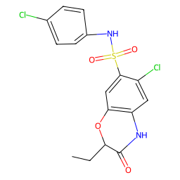 CCC1Oc2cc(S(=O)(=O)Nc3ccc(Cl)cc3)c(Cl)cc2NC1=O